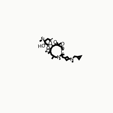 COC1(C)CC(C)CN(C)C(C)(CC2CC(N(C)CC3CC3)C2)COC(=O)C(C)(C)C(=O)[C@H](C)C1O[C@@H]1O[C@H](C)C[C@H](N(C)C)[C@H]1O